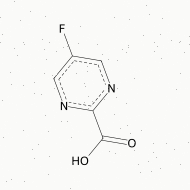 O=C(O)c1ncc(F)cn1